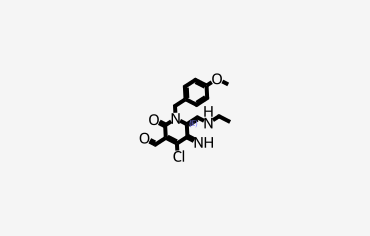 CCN/C=C1\C(=N)C(Cl)=C(C=O)C(=O)N1Cc1ccc(OC)cc1